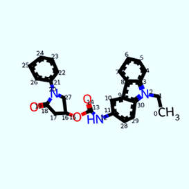 CCn1c2ccccc2c2cc(NC(=O)OC3CC(=O)N(c4ccccc4)C3)ccc21